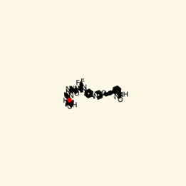 Cn1c(=O)[nH]c2cccc(C#CCOC3CCN(C[C@H]4CC[C@H](n5cc(NC(=O)c6cnn7ccc(N8C[C@H]9C[C@@H]8CO9)nc67)c(C(F)F)n5)CC4)CC3)c21